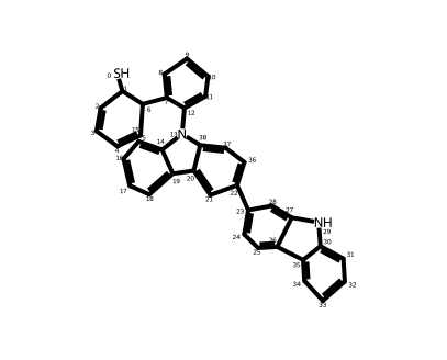 SC1C=CC=CC1c1ccccc1-n1c2ccccc2c2cc(-c3ccc4c(c3)[nH]c3ccccc34)ccc21